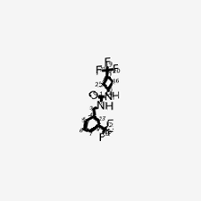 O=C(NCc1cccc(C(F)(F)F)c1)NC1CC(C(F)(F)F)C1